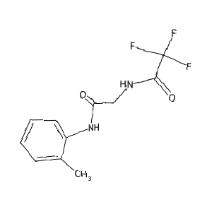 Cc1ccccc1NC(=O)CNC(=O)C(F)(F)F